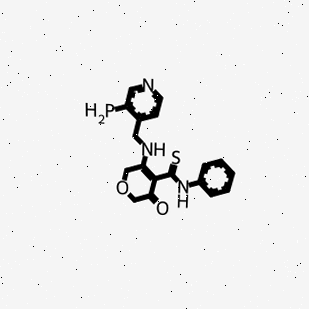 O=C1COCC(NCc2ccncc2P)=C1C(=S)Nc1ccccc1